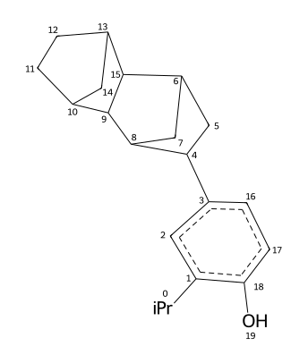 CC(C)c1cc(C2CC3CC2C2C4CCC(C4)C32)ccc1O